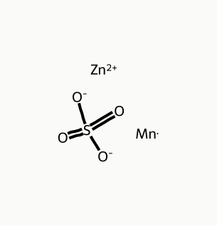 O=S(=O)([O-])[O-].[Mn].[Zn+2]